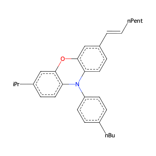 CCCCCC=Cc1ccc2c(c1)Oc1cc(C(C)C)ccc1N2c1ccc(CCCC)cc1